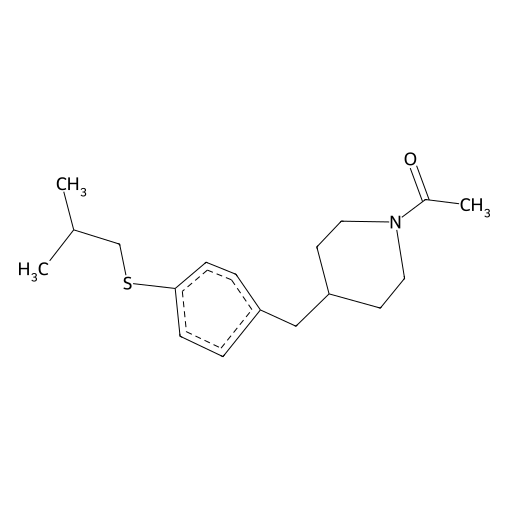 CC(=O)N1CCC(Cc2ccc(SCC(C)C)cc2)CC1